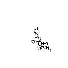 C[C@@]1(C(F)(F)F)Cn2c(nc(N3CCOCC3)cc2=O)N1C1CC1